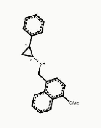 COc1ccc(CN[C@@H]2C[C@H]2c2ccccc2)c2ccccc12